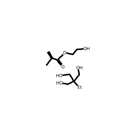 C=C(C)C(=O)OCCO.CCC(CO)(CO)CO